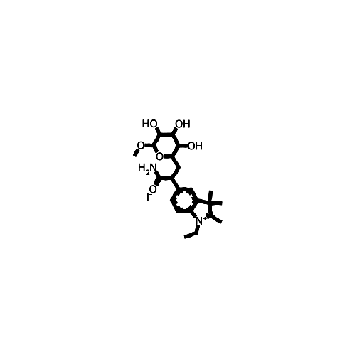 CC[N+]1=C(C)C(C)(C)c2cc(C(CC3OC(OC)C(O)C(O)C3O)C(N)=O)ccc21.[I-]